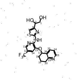 OCC(O)c1csc(Nc2ncc(C(F)(F)F)cc2OC2CCCc3ncccc32)n1